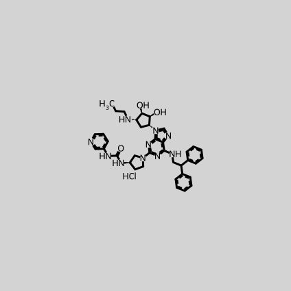 CCCN[C@H]1C[C@@H](n2cnc3c(NCC(c4ccccc4)c4ccccc4)nc(N4CC[C@@H](NC(=O)Nc5cccnc5)C4)nc32)[C@H](O)[C@@H]1O.Cl